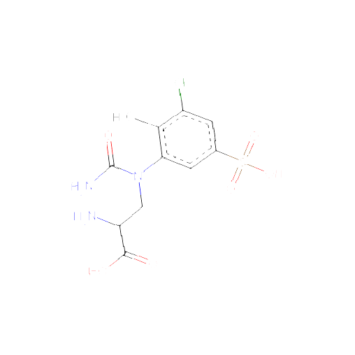 Cc1c(Cl)cc(S(=O)(=O)O)cc1N(CC(N)C(=O)O)C(N)=O